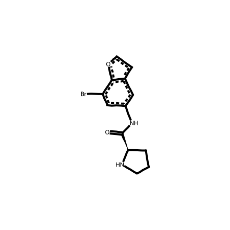 O=C(Nc1cc(Br)c2occc2c1)[C@H]1CCCN1